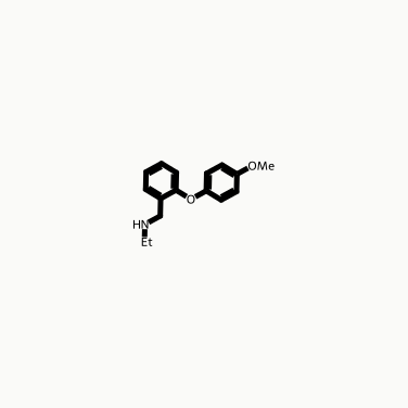 CCNCc1ccccc1Oc1ccc(OC)cc1